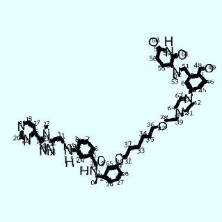 C[C@@H](NC(=O)c1cccc(NCc2nnc(-c3ccncn3)n2C)c1)c1cccc(OCCCCCCOCCN2CCN(c3ccc(C=O)c(CN(C)C4CCC(=O)NC4=O)c3)CC2)c1